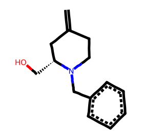 C=C1CCN(Cc2ccccc2)[C@H](CO)C1